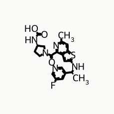 Cc1cc2sc(N[C@@H](C)c3cncc(F)c3)cc2c(C(=O)N2CC[C@@H](NC(=O)O)C2)n1